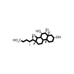 CCC1C2C(CC[C@]1(C)[C@H](C)[C@H](C)CCC(=O)O)[C@@]1(C)CC[C@@H](O)C[C@H]1[C@@H](CC)[C@H]2O